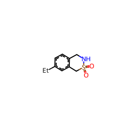 CCc1ccc2c(c1)CS(=O)(=O)NC2